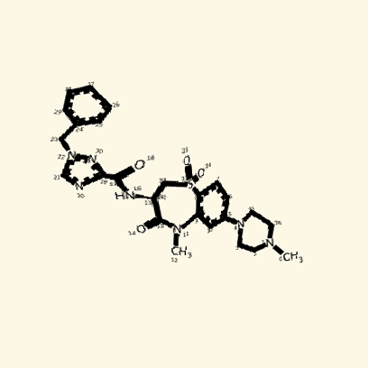 CN1CCN(c2ccc3c(c2)N(C)C(=O)[C@@H](NC(=O)c2ncn(Cc4ccccc4)n2)CS3(=O)=O)CC1